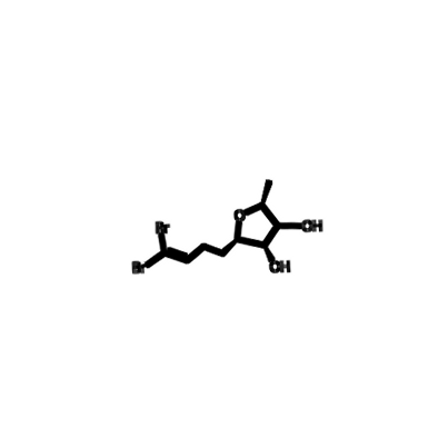 C[C@@H]1O[C@H](CCC=C(Br)Br)[C@H](O)C1O